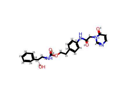 O=C(Cn1cnccc1=O)Nc1ccc(CCOC(=O)NC[C@H](O)c2ccccc2)cc1